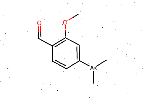 COc1cc([As](C)C)ccc1C=O